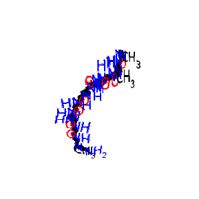 CN(CCCN)CCCNC(=O)CCNC(=O)Cc1nc(NC(=O)CCNC(=O)Cc2cc(CNC(=O)c3nc(NC(=O)CCNC(=O)c4cc(NC(=O)c5nccn5C)cn4C)c[nH]3)c[nH]2)c[nH]1